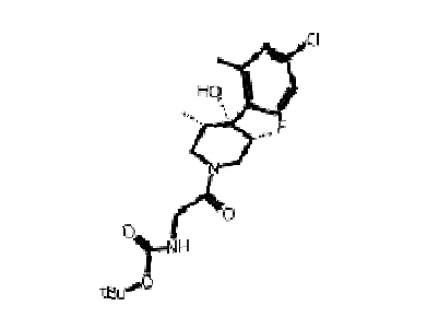 Cc1cc(Cl)cc(F)c1[C@@]1(O)[C@H](C)CN(C(=O)CNC(=O)OC(C)(C)C)C[C@@H]1C